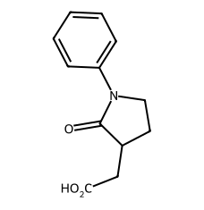 O=C(O)CC1CCN(c2ccccc2)C1=O